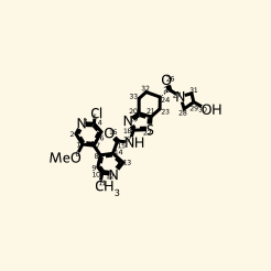 COc1cnc(Cl)cc1-c1cc(C)ncc1C(=O)Nc1nc2c(s1)C[C@@H](C(=O)N1CC(O)C1)CC2